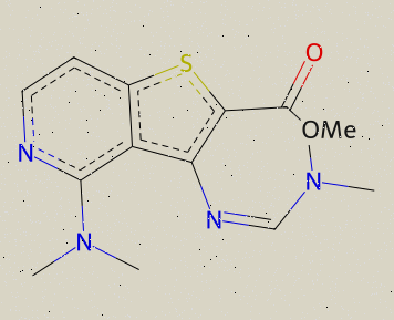 COC(=O)c1sc2ccnc(N(C)C)c2c1/N=C\N(C)C